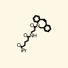 CC(C)C(=O)CCCC(=O)NCCC(=O)N1Cc2ccccc2C#Cc2ccccc21